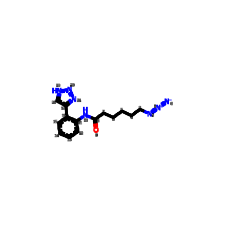 [N-]=[N+]=NCCCCCC(=O)Nc1ccccc1-c1c[nH]nn1